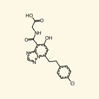 O=C(O)CNC(=O)c1c(O)cc(CCc2ccc(Cl)cc2)n2ncnc12